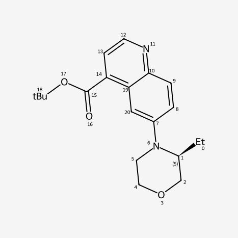 CC[C@H]1COCCN1c1ccc2nccc(C(=O)OC(C)(C)C)c2c1